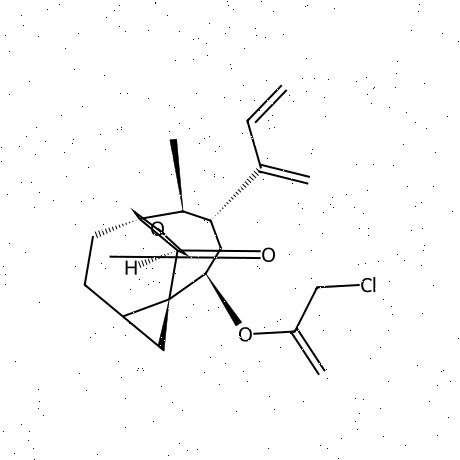 C=CC(=C)[C@@H]1C[C@@H](OC(=C)CCl)[C@]23CC2CC[C@]2(CCOC(=O)[C@H]23)[C@H]1C